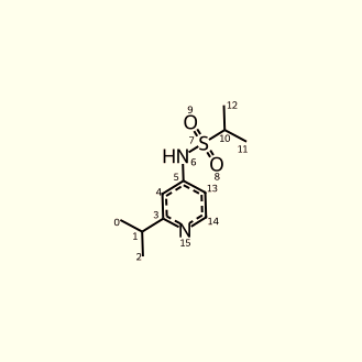 CC(C)c1cc(NS(=O)(=O)C(C)C)ccn1